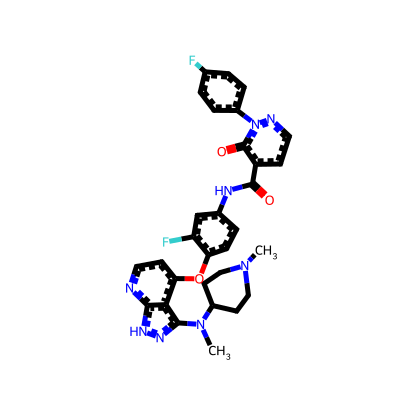 CN1CCC(N(C)c2n[nH]c3nccc(Oc4ccc(NC(=O)c5ccnn(-c6ccc(F)cc6)c5=O)cc4F)c23)CC1